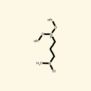 CCCO[SiH](CCCN(C)CC)OCCC